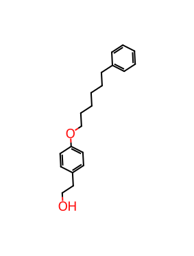 OCCc1ccc(OCCCCCCc2ccccc2)cc1